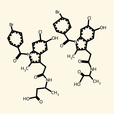 Cc1c(CC(=O)NC(C)C(=O)O)c2cc(O)c(Cl)cc2n1C(=O)c1ccc(Br)cc1.Cc1c(CC(=O)NC(C)CC(=O)O)c2cc(O)c(Cl)cc2n1C(=O)c1ccc(Br)cc1